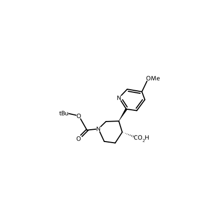 COc1ccc([C@@H]2CN(C(=O)OC(C)(C)C)CC[C@H]2C(=O)O)nc1